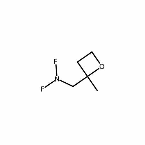 CC1(CN(F)F)CCO1